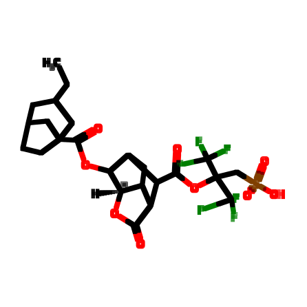 CCC1CC2CCC(C(=O)OC3C4CC5C(C(=O)O[C@H]53)C4C(=O)OC(CS(=O)(=O)O)(C(F)(F)F)C(F)(F)F)(C1)C2